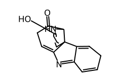 O=C1CC=C2N=C3C=CCC=C3C23C=CC=C(O)NC13